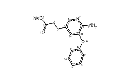 COC(=O)CCc1cnc(N)c(Oc2ccccc2)c1